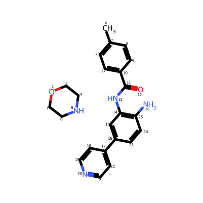 C1COCCN1.Cc1ccc(C(=O)Nc2cc(-c3ccncc3)ccc2N)cc1